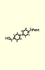 CCCCCc1ccc(-c2ccc(CO)cc2)cc1